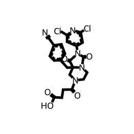 N#Cc1ccc(CC23CN(C(=O)CCC(=O)O)CCN2C(=O)N(c2cc(Cl)nc(Cl)c2)C3=O)cc1